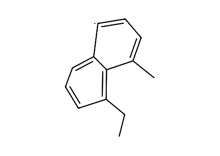 CCc1cccc2[c]ccc(C)c12